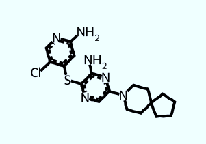 Nc1cc(Sc2ncc(N3CCC4(CCCC4)CC3)nc2N)c(Cl)cn1